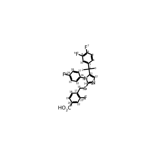 CC(C)(c1ccc(F)c(F)c1)c1cnc(SCc2ccc(C(=O)O)cc2F)n1-c1ccc(F)cc1